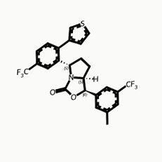 Cc1cc([C@H]2OC(=O)N3[C@H](c4cc(C(F)(F)F)ccc4-c4ccsc4)CC[C@@H]23)cc(C(F)(F)F)c1